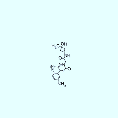 Cc1ccc(F)c(-c2cc(=O)n(CC(=O)NC3CC(C)(O)C3)nc2C(C)C)c1